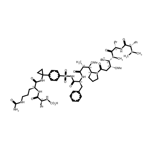 CC[C@H](C)[C@@H]([C@@H](CC(=O)N1CCC[C@H]1[C@H](OC)[C@@H](C)C(=O)N[C@@H](Cc1ccccc1)C(=O)NS(=O)(=O)c1ccc(C2(NC(=O)[C@H](CCCNC(N)=O)NC(=O)[C@@H](NC(=O)O)C(C)C)CC2)cc1)OC)N(C)C(=O)[C@@H](NC(=O)[C@H](C(C)C)N(C)C)C(C)C